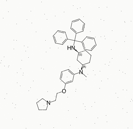 CN(c1cccc(OCCN2CCCC2)c1)[C@@H]1CCC[C@H](NC(c2ccccc2)(c2ccccc2)c2ccccc2)C1